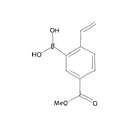 C=Cc1ccc(C(=O)OC)cc1B(O)O